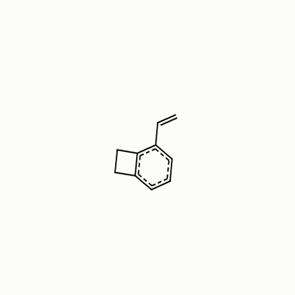 C=Cc1cccc2c1CC2